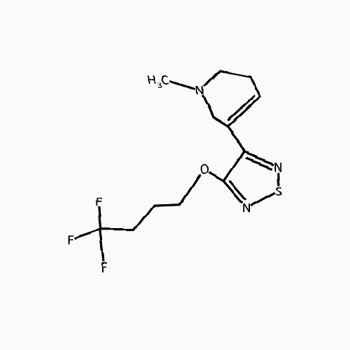 CN1CCC=C(c2nsnc2OCCCC(F)(F)F)C1